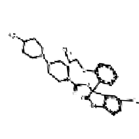 CCCOc1ccccc1C1(OC(=O)N2CCN(N3CCC(C)CC3)CC2)C(=O)Nc2ccc(OC)cc21